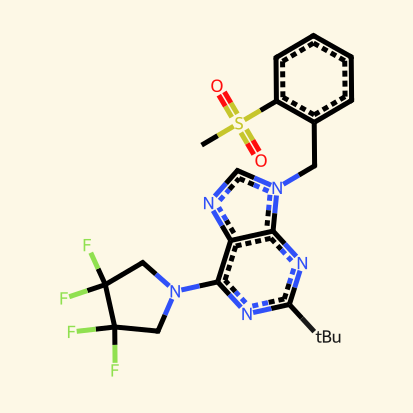 CC(C)(C)c1nc(N2CC(F)(F)C(F)(F)C2)c2ncn(Cc3ccccc3S(C)(=O)=O)c2n1